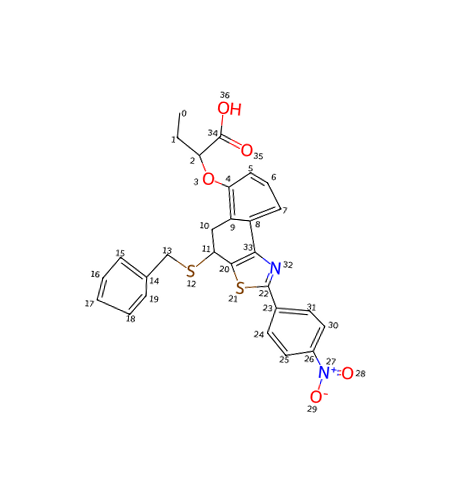 CCC(Oc1cccc2c1CC(SCc1ccccc1)c1sc(-c3ccc([N+](=O)[O-])cc3)nc1-2)C(=O)O